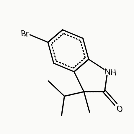 CC(C)C1(C)C(=O)Nc2ccc(Br)cc21